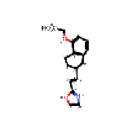 O=C(O)COc1cccc2c1CCC(/C=C/c1ncco1)C2